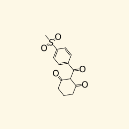 CS(=O)(=O)c1ccc(C(=O)C2C(=O)CCCC2=O)cc1